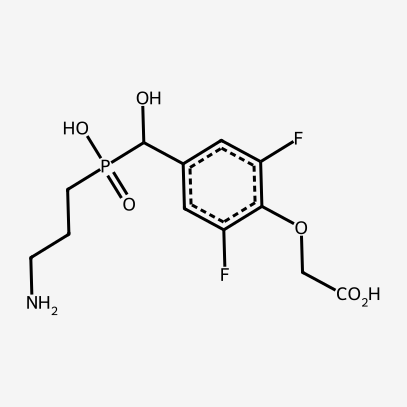 NCCCP(=O)(O)C(O)c1cc(F)c(OCC(=O)O)c(F)c1